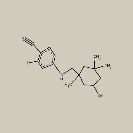 CC1(C)CC(O)CC(C)(CNc2ccc(C#N)c(F)c2)C1